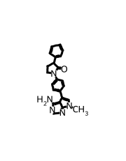 Cn1cc(-c2ccc(N3CCC(c4ccccc4)C3=O)cc2)c2c(N)ncnc21